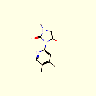 Cc1cnc(N2C(=O)N(C)CC2O)cc1C